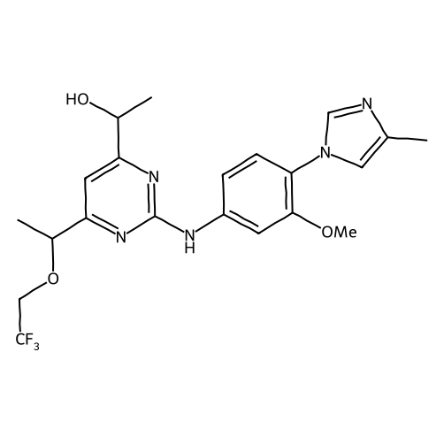 COc1cc(Nc2nc(C(C)O)cc(C(C)OCC(F)(F)F)n2)ccc1-n1cnc(C)c1